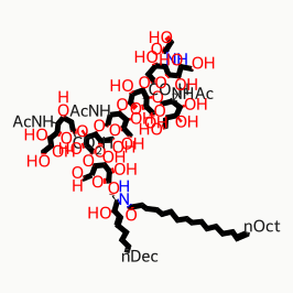 CCCCCCCC/C=C\CCCCCCCCCCCCCC(=O)N[C@@H](CO[C@@H]1OC(CO)[C@@H](O[C@@H]2OC(CO)[C@H](O[C@@H]3OC(CO)[C@H](O)[C@H](O[C@@H]4OC(CO)[C@H](O[C@@H]5OC(CO)[C@H](O)[C@H](O)C5NC(C)=O)[C@H](O[C@]5(C(=O)O)CC(O)[C@@H](NC(=O)CO)C([C@H](O)[C@H](O)CO)O5)C4O)C3NC(C)=O)[C@H](O[C@]3(C(=O)O)CC(O)[C@@H](NC(C)=O)C([C@H](O)[C@H](O)CO)O3)C2O)[C@H](O)C1O)[C@H](O)/C=C/CCCCCCCCCCCCC